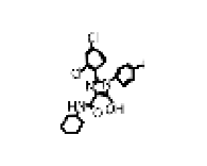 O=C(NC1CCCCC1)c1nc(-c2ccc(Cl)cc2Cl)n(-c2ccc(I)cc2)c1CO